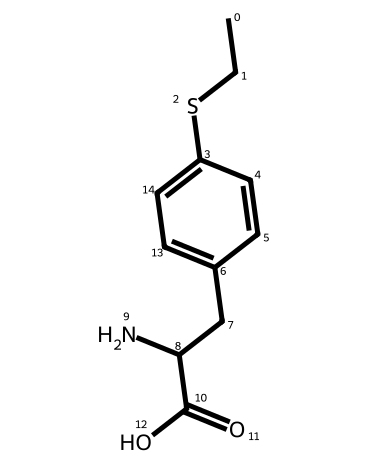 CCSc1ccc(CC(N)C(=O)O)cc1